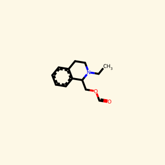 CCN1CCc2ccccc2C1COC=O